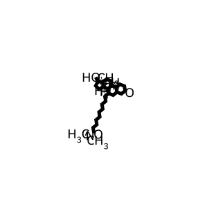 CN(C)C(=O)CCCCCCCCCC1CC2CC(=O)CC[C@]2(C)[C@@H]2CC[C@]3(C)C(O)CC[C@H]3[C@H]12